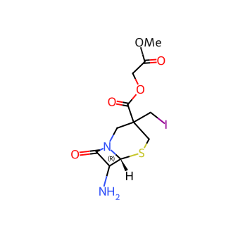 COC(=O)COC(=O)C1(CI)CS[C@@H]2C(N)C(=O)N2C1